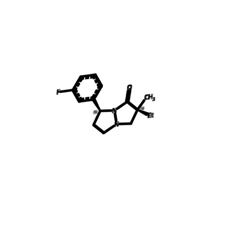 CC[C@@]1(C)CN2CC[C@@H](c3cccc(F)c3)N2C1=O